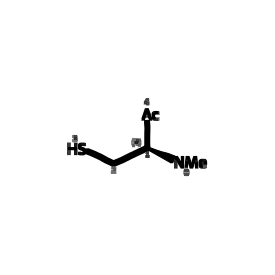 CN[C@@H](CS)C(C)=O